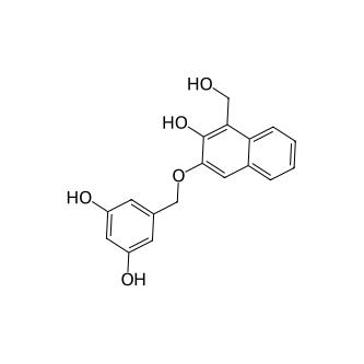 OCc1c(O)c(OCc2cc(O)cc(O)c2)cc2ccccc12